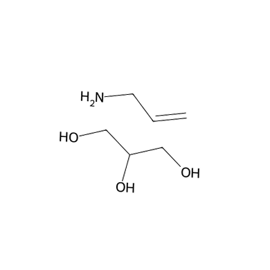 C=CCN.OCC(O)CO